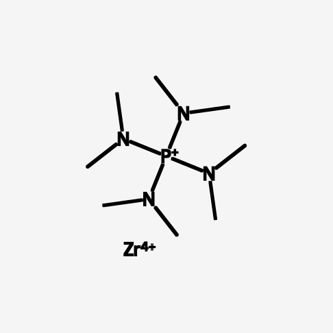 CN(C)[P+](N(C)C)(N(C)C)N(C)C.[Zr+4]